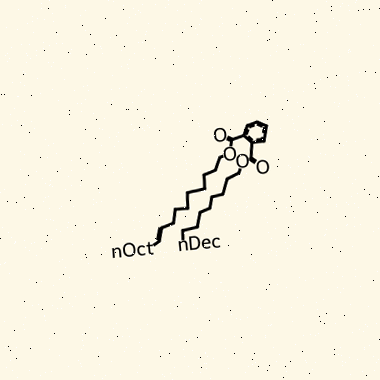 CCCCCCCCC=CCCCCCCCCOC(=O)c1ccccc1C(=O)OCCCCCCCCCCCCCCCCCC